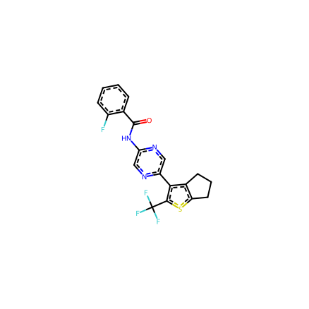 O=C(Nc1cnc(-c2c(C(F)(F)F)sc3c2CCC3)cn1)c1ccccc1F